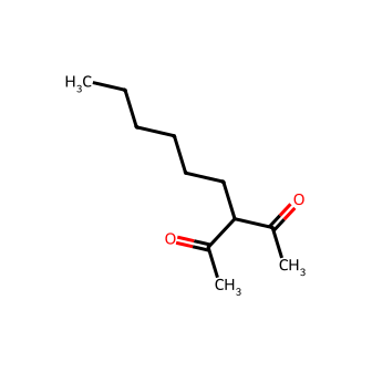 CCCCCCC(C(C)=O)C(C)=O